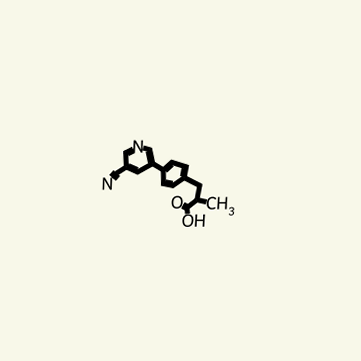 CC(Cc1ccc(-c2cncc(C#N)c2)cc1)C(=O)O